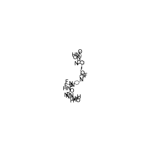 O=C1CCN(c2cncc3c(C#CCO[C@H]4CCN(C[C@H]5CC[C@H](n6cc(NC(=O)c7cnn8ccc(N9C[C@H]%10C[C@@H]9CO%10)nc78)c(C(F)F)n6)CC5)C[C@H]4F)cccc23)C(=O)N1